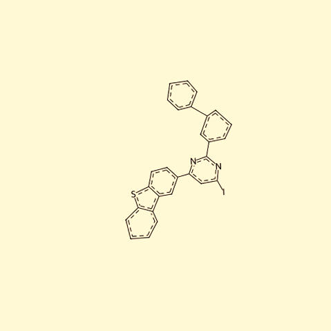 Ic1cc(-c2ccc3sc4ccccc4c3c2)nc(-c2cccc(-c3ccccc3)c2)n1